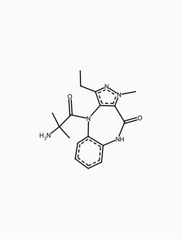 CCc1nn(C)c2c1N(C(=O)C(C)(C)N)c1ccccc1NC2=O